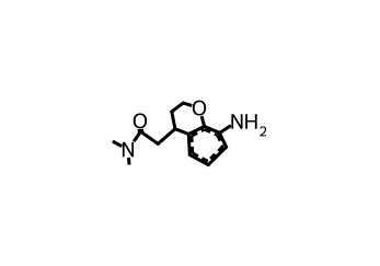 CN(C)C(=O)CC1CCOc2c(N)cccc21